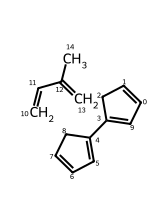 C1=CCC(C2=CC=CC2)=C1.C=CC(=C)C